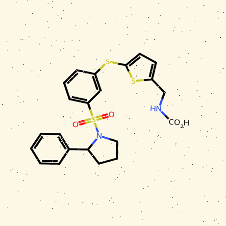 O=C(O)NCc1ccc(Sc2cccc(S(=O)(=O)N3CCCC3c3ccccc3)c2)s1